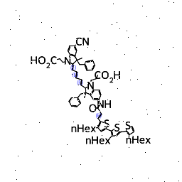 CCCCCCc1cc(-c2sc(-c3sccc3CCCCCC)cc2CCCCCC)sc1/C=C/C(=O)Nc1ccc2c(c1)C(C)(Cc1ccccc1)C(/C=C/C=C/C=C1/N(CCC(=O)O)c3ccc(C#N)cc3C1(C)Cc1ccccc1)N2CCC(=O)O